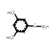 O=C(O)c1c[c]([Cu][S](=O)(=O)O)cc(C(=O)O)c1